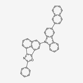 c1ccc(-c2nc3c(o2)-c2cc(-n4c5ccccc5c5cc(-c6ccc7ccccc7c6)ccc54)cc4cccc-3c24)cc1